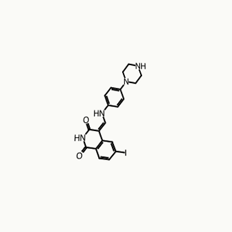 O=C1NC(=O)c2ccc(I)cc2C1=CNc1ccc(N2CCNCC2)cc1